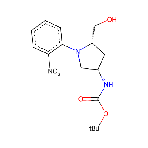 CC(C)(C)OC(=O)N[C@H]1C[C@@H](CO)N(c2ccccc2[N+](=O)[O-])C1